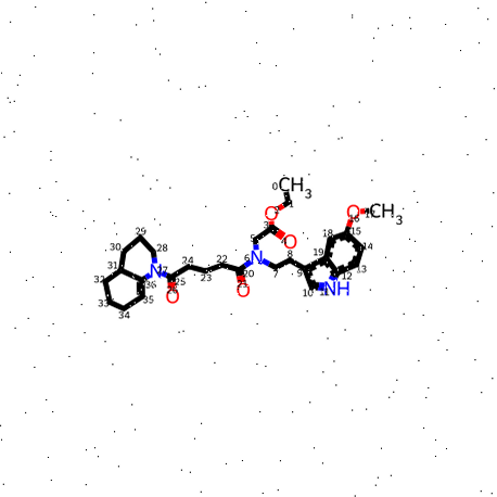 CCOC(=O)CN(CCc1c[nH]c2ccc(OC)cc12)C(=O)CCCC(=O)N1CCCC2CCCC=C21